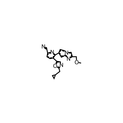 COCc1cn2ccc(-c3nc(C#N)ccc3-c3cnc(CC4CC4)o3)cc2n1